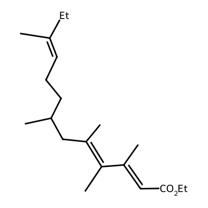 CCOC(=O)/C=C(C)/C(C)=C(\C)CC(C)CC/C=C(\C)CC